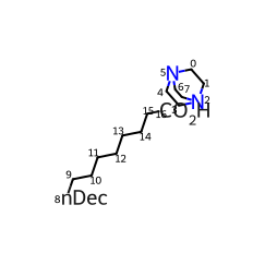 C1CN2CCN1CC2.CCCCCCCCCCCCCCCCCC(=O)O